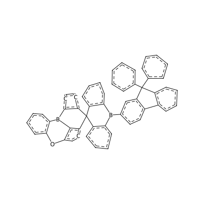 c1ccc(C2(c3ccccc3)c3ccccc3-c3ccc(B4c5ccccc5C5(c6ccccc64)c4ccccc4B4c6ccccc6Oc6cccc5c64)cc32)cc1